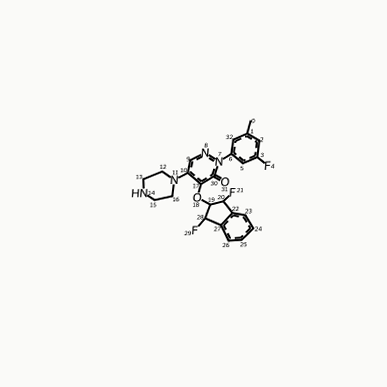 Cc1cc(F)cc(-n2ncc(N3CCNCC3)c(OC3C(F)c4ccccc4C3F)c2=O)c1